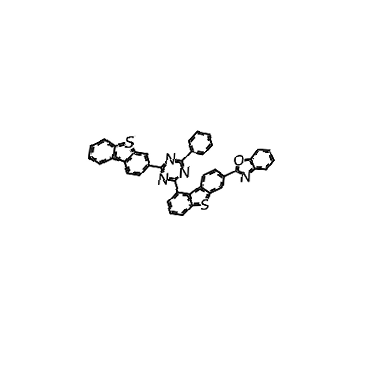 c1ccc(-c2nc(-c3ccc4c(c3)sc3ccccc34)nc(-c3cccc4sc5cc(-c6nc7ccccc7o6)ccc5c34)n2)cc1